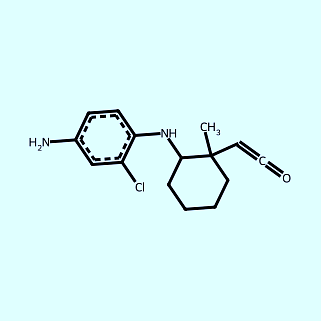 CC1(C=C=O)CCCCC1Nc1ccc(N)cc1Cl